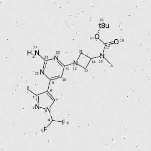 Cc1nn(C(F)F)cc1-c1cc(N2CC(N(C)C(=O)OC(C)(C)C)C2)nc(N)n1